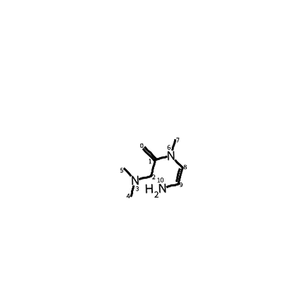 C=C(CN(C)C)N(C)/C=C\N